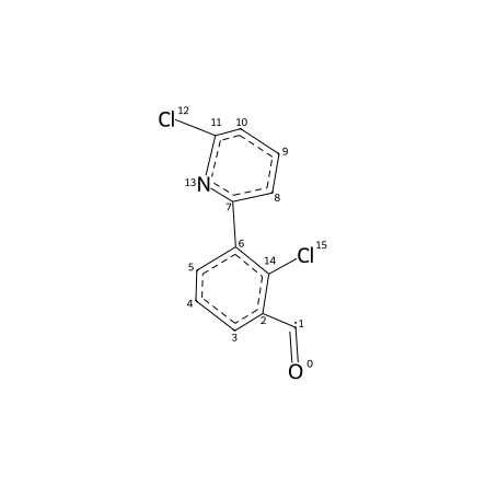 O=[C]c1cccc(-c2cccc(Cl)n2)c1Cl